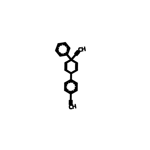 C#Cc1ccc(C2C=CC(C#C)(c3ccccc3)C=C2)cc1